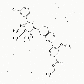 CCOC(=O)c1ccc(-c2ccc3c(c2)C[C@@H](N(C[C@@H](O)c2cccc(Cl)c2)C(=O)OC(C)(C)C)CC3)c(OC)c1